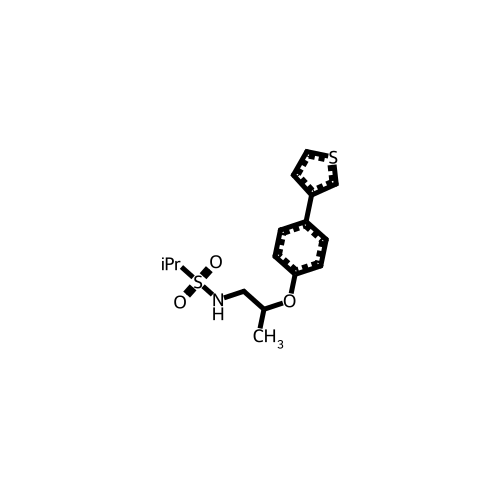 CC(CNS(=O)(=O)C(C)C)Oc1ccc(-c2ccsc2)cc1